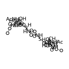 CC(=O)N[C@@H]([C@@H](O[C@@H](OCCCSCCNC(=O)c1ccccc1-c1ccccc1C(=O)NCCSCCCO[C@]1(C(=O)O)C[C@H](O)[C@@H](NC(C)=O)[C@H]([C@H](O)[C@H](O)CNC(=O)c2ccc(-c3ccccc3)cc2)O1)C(=O)O)[C@H](O)[C@H](O)CNC(=O)c1ccc(-c2ccccc2)cc1)[C@H](C)O